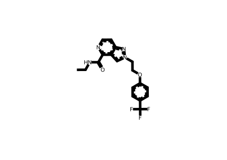 CCNC(=O)c1nccc2nn(CCOc3ccc(C(F)(F)F)cc3)cc12